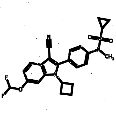 CN(c1ccc(-c2c(C#N)c3ccc(OC(F)F)cc3n2C2CCC2)cc1)S(=O)(=O)C1CC1